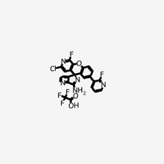 NC1=N[C@@]2(c3cc(-c4cccnc4F)ccc3Oc3c2cc(Cl)nc3F)c2cccnc21.O=C(O)C(F)(F)F